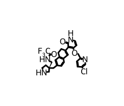 O=C(NC[C@]1(Cc2ccc3c(c2)CCC(c2c(OCc4ccc(Cl)cn4)cc[nH]c2=O)=C3)CCNC1)C(F)(F)F